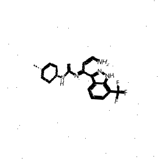 C=C(/N=C(\C=C/N)c1n[nH]c2c(C(F)(F)F)cccc12)N[C@H]1CC[C@H](C)CC1